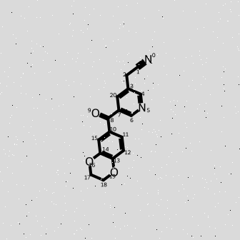 N#CCc1cncc(C(=O)c2ccc3c(c2)OCCO3)c1